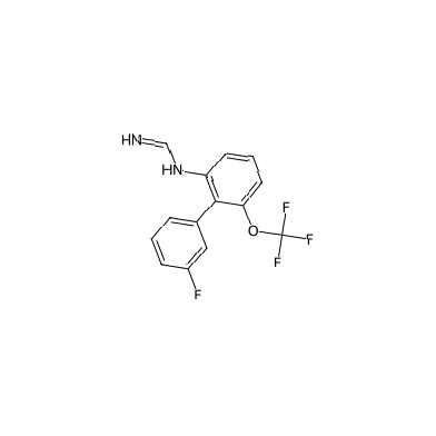 N=CNc1cccc(OC(F)(F)F)c1-c1cccc(F)c1